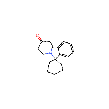 O=C1CCN(C2(c3ccccc3)CCCCC2)CC1